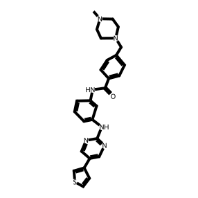 CN1CCN(Cc2ccc(C(=O)Nc3cccc(Nc4ncc(-c5ccsc5)cn4)c3)cc2)CC1